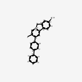 Cc1c[n+]2c(cc1-c1ccc(-c3ccccc3)cc1)-c1ccc(F)cc1C2